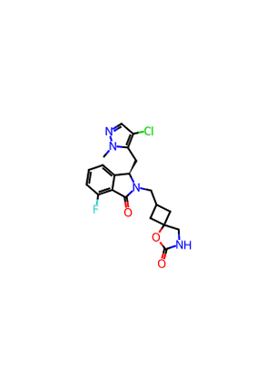 Cn1ncc(Cl)c1C[C@@H]1c2cccc(F)c2C(=O)N1CC1CC2(CNC(=O)O2)C1